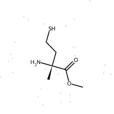 COC(=O)[C@](C)(N)CCS